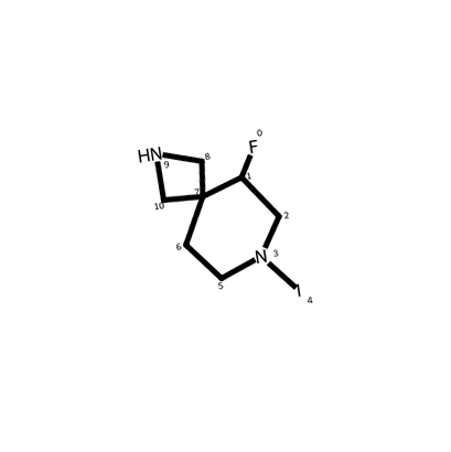 FC1CN(I)CCC12CNC2